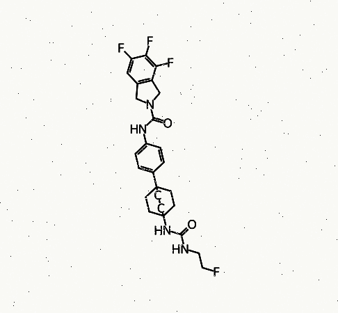 O=C(NCCF)NC12CCC(c3ccc(NC(=O)N4Cc5cc(F)c(F)c(F)c5C4)cc3)(CC1)CC2